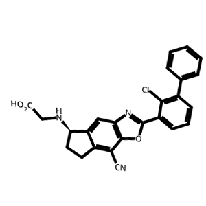 N#Cc1c2c(cc3nc(-c4cccc(-c5ccccc5)c4Cl)oc13)[C@H](NCC(=O)O)CC2